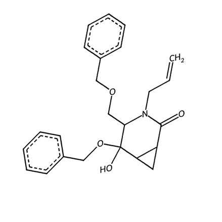 C=CCN1C(=O)C2CC2C(O)(OCc2ccccc2)C1COCc1ccccc1